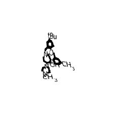 Cc1cccc(COc2ccc(C(C)(C)C)cc2CN2CC[C@H](O)[C@@H](N3CCN(C)CC3)CC2)c1